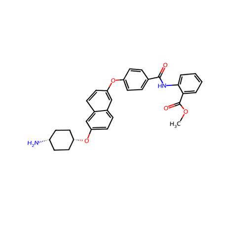 COC(=O)c1ccccc1NC(=O)c1ccc(Oc2ccc3cc(O[C@H]4CC[C@@H](N)CC4)ccc3c2)cc1